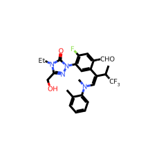 CCn1c(CO)nn(-c2cc(/C(=C\N(C)c3ccccc3C)C(C)C(F)(F)F)c(C=O)cc2F)c1=O